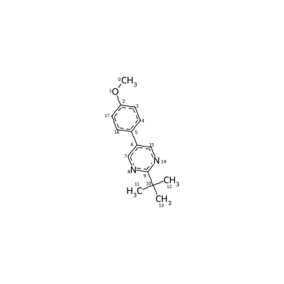 COc1ccc(-c2cnc(C(C)(C)C)nc2)cc1